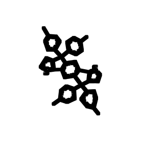 Cc1ccc(C2(c3ccc(C)cc3)c3cc4c(cc3-c3sccc32)C(c2ccc(C)cc2)(c2ccc(C)cc2)c2ccsc2-4)cc1